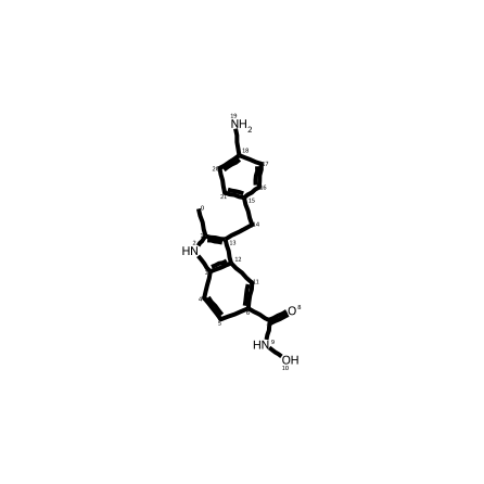 Cc1[nH]c2ccc(C(=O)NO)cc2c1Cc1ccc(N)cc1